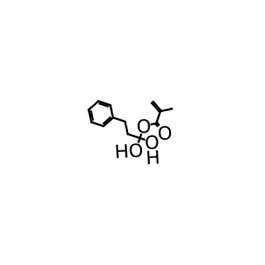 C=C(C)C(=O)OC(O)(O)CCc1ccccc1